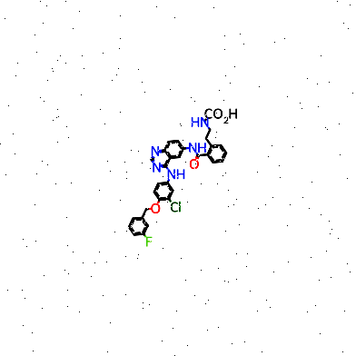 O=C(O)NCCc1ccccc1C(=O)Nc1ccc2ncnc(Nc3ccc(OCc4cccc(F)c4)c(Cl)c3)c2c1